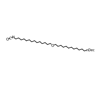 CCCCCCCCCCCCCCCCCCCCCCOCCCCCCCCCCCCCCN=C=O